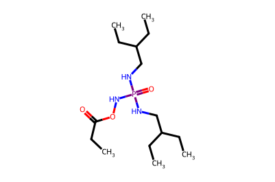 CCC(=O)ONP(=O)(NCC(CC)CC)NCC(CC)CC